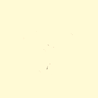 CCC(CO)(CO)CO.CCN(CC)C(=O)[C@@H]1C=C2c3cccc4[nH]cc(c34)C[C@H]2N(C)C1